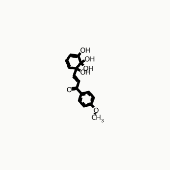 COc1ccc(C(=O)C=CC2(O)C=CC=C(O)C2(O)O)cc1